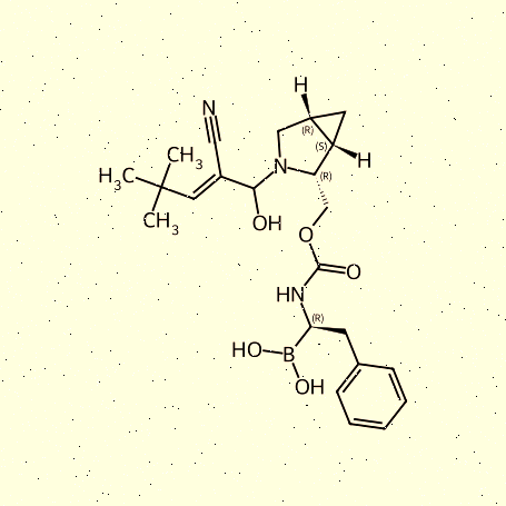 CC(C)(C)C=C(C#N)C(O)N1C[C@@H]2C[C@@H]2[C@@H]1COC(=O)N[C@@H](Cc1ccccc1)B(O)O